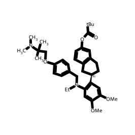 CCN(Cc1ccc(OCC(C)(C)N(C)C)cc1)c1cc(OC)c(OC)cc1[C@@H]1CCc2cc(OC(=O)C(C)(C)C)ccc2C1